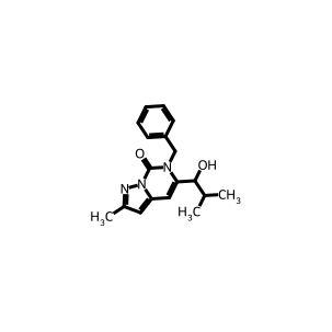 Cc1cc2cc(C(O)C(C)C)n(Cc3ccccc3)c(=O)n2n1